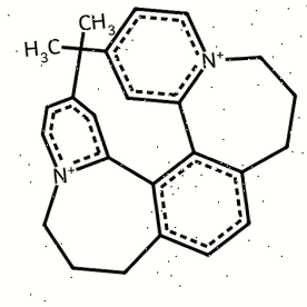 Cc1cc[n+]2c(c1)-c1c(ccc3c1-c1cc(C)cc[n+]1CCC3)CCC2